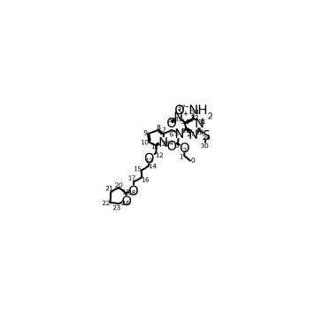 CCOC(=O)N(Cc1cccc(COCCCCOC2CCCCO2)n1)c1nc(SC)nc(N)c1[N+](=O)[O-]